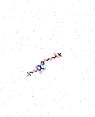 CC(C)(C)OC(=O)CCOCCOC1CN(c2cnn(COCC[Si](C)(C)C)c(=O)c2C(F)(F)F)C1